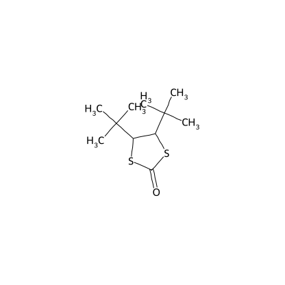 CC(C)(C)C1SC(=O)SC1C(C)(C)C